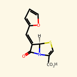 O=C(O)C1=CS[C@@H]2C(=Cc3ccco3)C(=O)N12